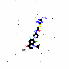 Nc1n[nH]c(SCC(=O)NC2CCN(c3c(F)cc4c(=O)c(C(=O)O)cn(C5CC5)c4c3Cl)C2)n1